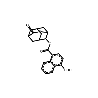 O=Cc1ccc(C(=O)OC2C3CC4CC(C3)C(=O)OC2C4)c2ccccc12